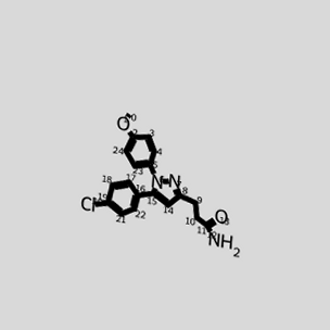 COc1ccc(-n2nc(CCC(N)=O)cc2-c2ccc(Cl)cc2)cc1